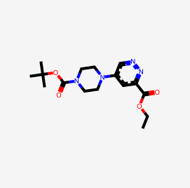 CCOC(=O)c1cc(N2CCN(C(=O)OC(C)(C)C)CC2)cnn1